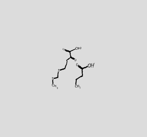 CCCC(=O)O.CSCSCCC(=O)C(=O)O